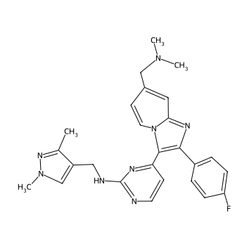 Cc1nn(C)cc1CNc1nccc(-c2c(-c3ccc(F)cc3)nc3cc(CN(C)C)ccn23)n1